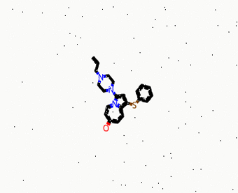 C=CCN1CCN(c2cc(Sc3ccccc3)c3ccc(=O)ccn23)CC1